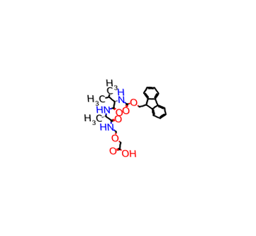 CC(C)[C@H](NC(=O)OCC1c2ccccc2-c2ccccc21)C(=O)N[C@@H](C)C(=O)NCOCC(=O)O